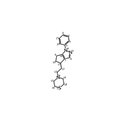 c1ccc(-n2ncc3c2CCC3CCN2CCSCC2)cc1